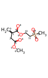 C=C(CC(=O)OC)C(=O)OCCS(C)(=O)=O